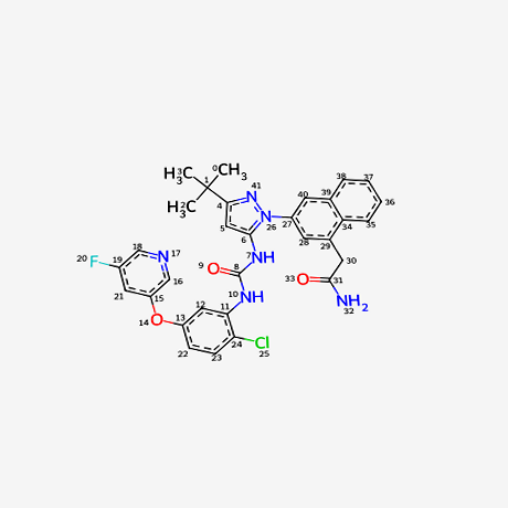 CC(C)(C)c1cc(NC(=O)Nc2cc(Oc3cncc(F)c3)ccc2Cl)n(-c2cc(CC(N)=O)c3ccccc3c2)n1